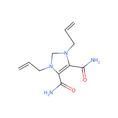 C=CCN1CN(CC=C)C(C(N)=O)=C1C(N)=O